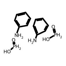 Nc1ccccc1.Nc1ccccc1.O=[PH2]O.O=[PH2]O